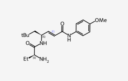 CC[C@H](N)C(=O)N[C@H](/C=C/C(=O)Nc1ccc(OC)cc1)CC(C)(C)C